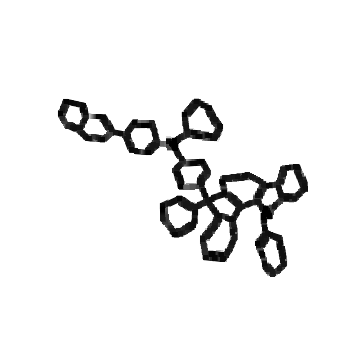 c1ccc(N(c2ccc(-c3ccc4ccccc4c3)cc2)c2ccc(C3(c4ccccc4)c4ccccc4-c4c3ccc3c5ccccc5n(-c5ccccc5)c43)cc2)cc1